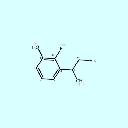 C[C](CF)c1cccc(O)c1F